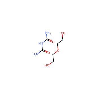 NC(=O)NC(N)=O.OCCOCCO